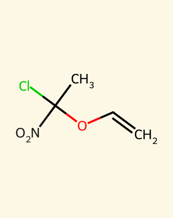 C=COC(C)(Cl)[N+](=O)[O-]